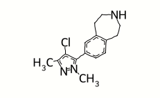 Cc1nn(C)c(-c2ccc3c(c2)CCNCC3)c1Cl